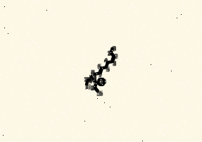 CC/C=C\CC/C=C/CN(CC)C(=O)CC